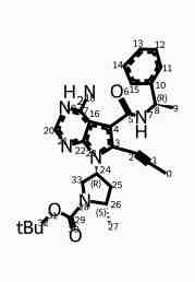 CC#Cc1c(C(=O)N[C@H](C)c2ccccc2)c2c(N)ncnc2n1[C@@H]1C[C@H](C)N(C(=O)OC(C)(C)C)C1